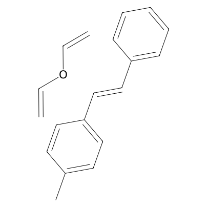 C=COC=C.Cc1ccc(C=Cc2ccccc2)cc1